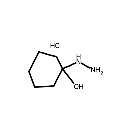 Cl.NNC1(O)CCCCC1